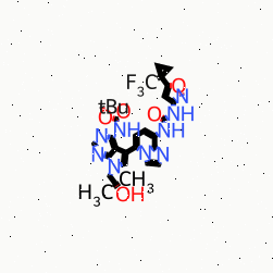 CC(C)(O)Cn1cc(-c2ccc(NC(=O)Nc3cc(C4(C(F)(F)F)CC4)on3)c3nccn23)c2c(NC(=O)OC(C)(C)C)ncnc21